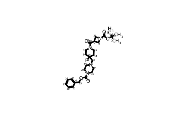 CC(C)(C)OC(=O)N1CC(C(=O)N2CCC(F)(CN3CCN(C(=O)OCc4ccccc4)CC3)CC2)C1